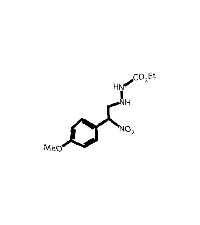 CCOC(=O)NNCC(c1ccc(OC)cc1)[N+](=O)[O-]